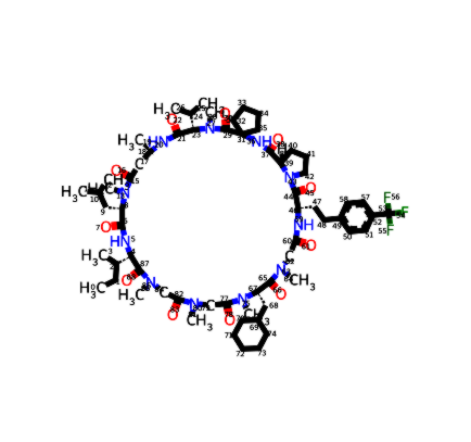 CCC(C)[C@@H]1NC(=O)[C@H](CC(C)C)N(C)C(=O)C[C@@H](C)NC(=O)[C@H](C(C)C)N(C)C(=O)C2(CCCC2)NC(=O)[C@@H]2CCCN2C(=O)[C@H](CCc2ccc(C(F)(F)F)cc2)NC(=O)CN(C)C(=O)[C@H](CC2CCCCC2)N(C)C(=O)CN(C)C(=O)CN(C)C1=O